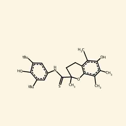 Cc1c(C)c2c(c(C)c1O)CCC(C)(C(=S)Nc1cc(C(C)(C)C)c(O)c(C(C)(C)C)c1)O2